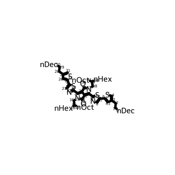 CCCCCCCCCCCCc1csc(-c2cnc(C3=C4C(=O)N(CC(CCCCCC)CCCCCCCC)C(c5ncc(-c6cc(CCCCCCCCCCCC)cs6)s5)=C4C(=O)N3CC(CCCCCC)CCCCCCCC)s2)c1